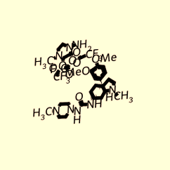 CN1CCN(N)C(OC(=O)C(F)(F)F)(OC(=O)C(F)(F)F)C1OC(=O)C(F)(F)F.COc1ccc([C@@]23CC[C@@H](NC(=O)NN4CCN(C)CC4)C[C@@H]2N(C)CC3)cc1OC